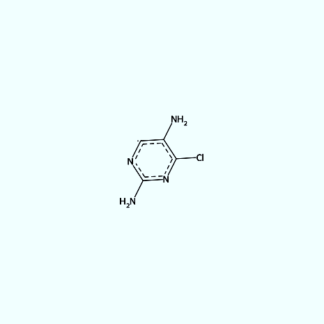 Nc1n[c]c(N)c(Cl)n1